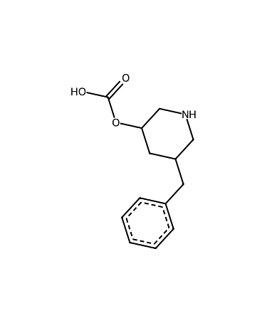 O=C(O)OC1CNCC(Cc2ccccc2)C1